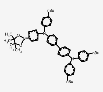 CCCCc1ccc(N(c2ccc(CCCC)cc2)c2ccc(-c3ccc(N(c4ccc(CCCC)cc4)c4ccc(B5OC(C)(C)C(C)(C)O5)cc4)cc3)cc2)cc1